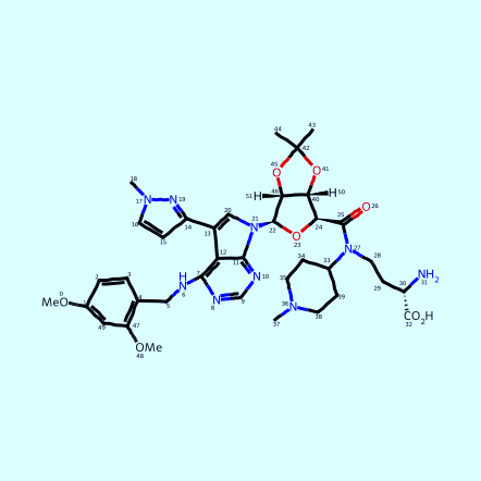 COc1ccc(CNc2ncnc3c2c(-c2ccn(C)n2)cn3[C@@H]2O[C@H](C(=O)N(CC[C@H](N)C(=O)O)C3CCN(C)CC3)[C@H]3OC(C)(C)O[C@H]32)c(OC)c1